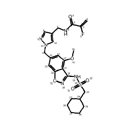 C=C(F)C(=O)NCc1cnn(Cc2cc(OC)c3c(NS(=O)(=O)CC4CCCCC4)noc3c2)c1